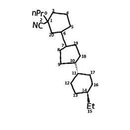 CCCC1(C#N)CCCC(C2CCC([C@H]3CC[C@H](CC)CC3)CC2)C1